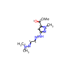 COC(=O)c1cc(NN=CC=NN(C)C)nn1C